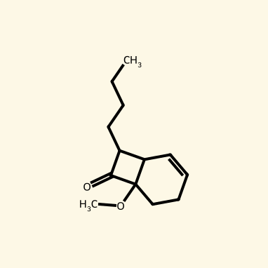 CCCCC1C(=O)C2(OC)CCC=CC12